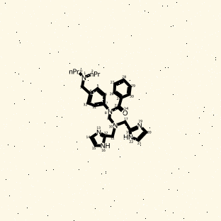 CCCN(CCC)Cc1ccc(N(CN(Cc2ncc[nH]2)Cc2ncc[nH]2)C(=O)c2ccccc2)cc1